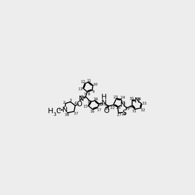 CN1CCC(O/N=C(/c2ccccc2)c2cccc(NC(=O)c3ccn4c3CSC4c3cccnc3)c2)CC1